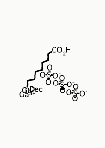 CCCCCCCCCCCCCCCCCC(=O)O.O=S(=O)([O-])[O-].O=S(=O)([O-])[O-].O=S(=O)([O-])[O-].[Ga+3].[Ga+3]